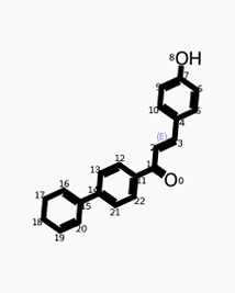 O=C(/C=C/c1ccc(O)cc1)c1ccc(C2=CCCC=C2)cc1